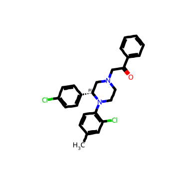 Cc1ccc(N2CCN(CC(=O)c3ccccc3)C[C@H]2c2ccc(Cl)cc2)c(Cl)c1